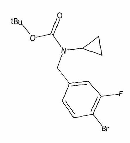 CC(C)(C)OC(=O)N(Cc1ccc(Br)c(F)c1)C1CC1